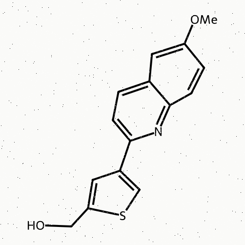 COc1ccc2nc(-c3csc(CO)c3)ccc2c1